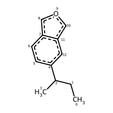 CCC(C)c1ccc2[c]occ2c1